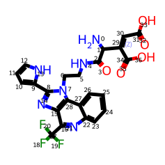 NC(C(=O)NCCn1c(-c2ccc[nH]2)nc2c(C(F)(F)F)nc3ccccc3c21)/C(=C/C(=O)O)C(=O)O